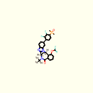 [2H]C([2H])([2H])N1C(=O)c2cccc(OC(F)F)c2[C@H]2C[C@@H]1c1nc3ccc(-c4ccc(P(C)(C)=O)c(F)c4F)cc3n12